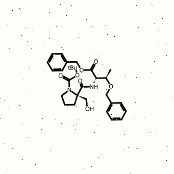 C[C@@H](OCc1ccccc1)[C@H](NC(=O)[C@]1(CO)CCCN1C(=O)OC(C)(C)C)C(=O)OCc1ccccc1